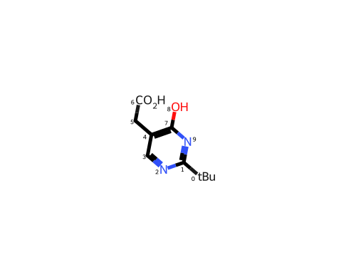 CC(C)(C)c1ncc(CC(=O)O)c(O)n1